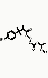 C=C(C(=O)OOOC(=O)OC(C)OCC)C(C)(C)c1ccc(C(C)C)cc1